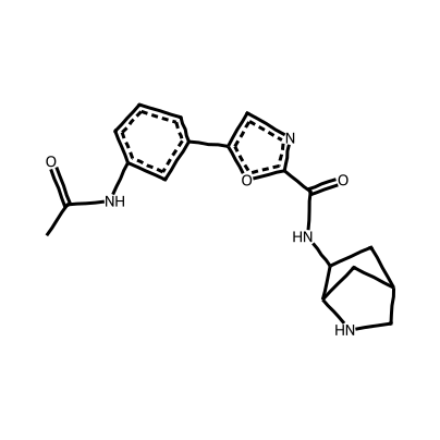 CC(=O)Nc1cccc(-c2cnc(C(=O)NC3CC4CNC3C4)o2)c1